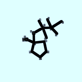 CC(C)(C)[Si](C)(C)OC1(O)CCCC1